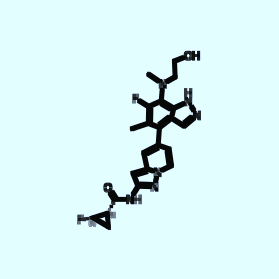 Cc1c(F)c(N(C)CCO)c2[nH]ncc2c1-c1ccn2nc(NC(=O)[C@@H]3C[C@@H]3F)cc2c1